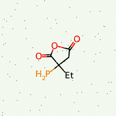 CCC1(P)CC(=O)OC1=O